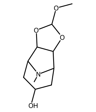 COC1OC2C(O1)C1CC(O)CC2N1C